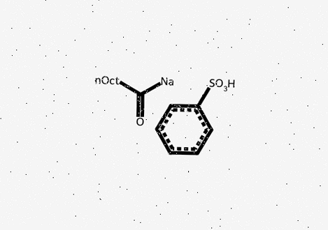 CCCCCCCC[C](=O)[Na].O=S(=O)(O)c1ccccc1